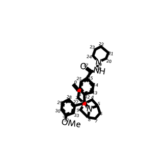 C=CCN1CC2CCC(C1)N2C(c1ccc(C(=O)NN2CCCCC2)cc1)c1cccc(OC)c1